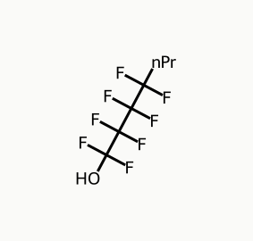 CCCC(F)(F)C(F)(F)C(F)(F)C(O)(F)F